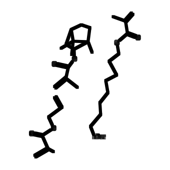 C=C(C)C(=O)OC1CC2CCC1(C)C2(C)C.C=C(C)C(=O)OCCCCCCCCCCCCCCCCCC.C=CCOC(=O)C(=C)C